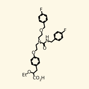 CCOC(Cc1ccc(OCCN(CCOCc2ccc(F)cc2)C(=O)NCc2ccc(F)cc2)cc1)C(=O)O